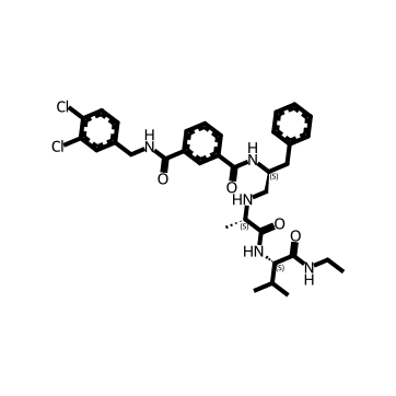 CCNC(=O)[C@@H](NC(=O)[C@H](C)NC[C@H](Cc1ccccc1)NC(=O)c1cccc(C(=O)NCc2ccc(Cl)c(Cl)c2)c1)C(C)C